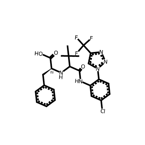 CC(C)(C)C(N[C@@H](Cc1ccccc1)C(=O)O)C(=O)Nc1cc(Cl)ccc1-n1cc(C(F)(F)F)nn1